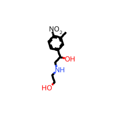 Cc1cc(C(O)CNCCO)ccc1[N+](=O)[O-]